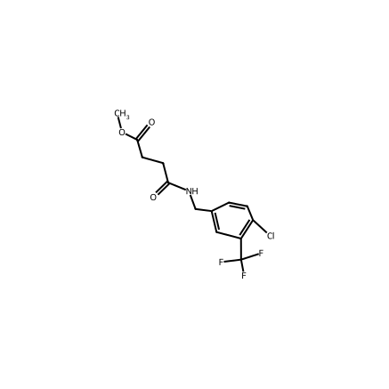 COC(=O)CCC(=O)NCc1ccc(Cl)c(C(F)(F)F)c1